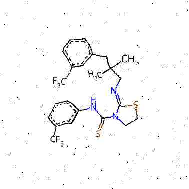 CC(C)(CN=C1SCCN1C(=S)Nc1cccc(C(F)(F)F)c1)Cc1cccc(C(F)(F)F)c1